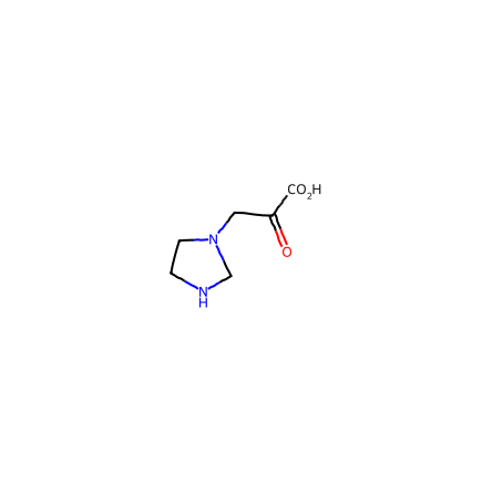 O=C(O)C(=O)CN1CCNC1